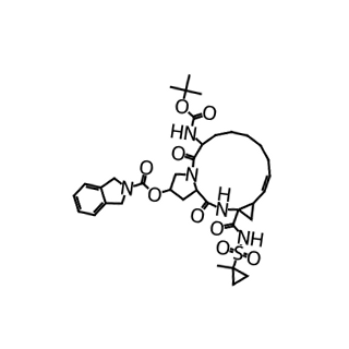 CC(C)(C)OC(=O)NC1CCCCCC=CC2CC2(C(=O)NS(=O)(=O)C2(C)CC2)NC(=O)C2CC(OC(=O)N3Cc4ccccc4C3)CN2C1=O